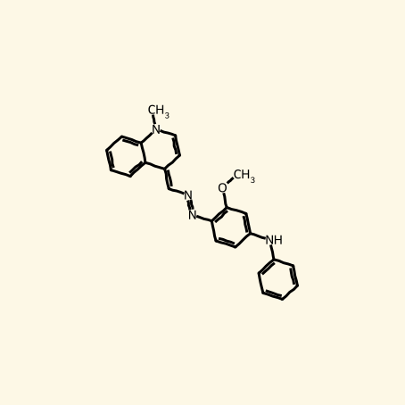 COc1cc(Nc2ccccc2)ccc1N=N/C=C1\C=CN(C)c2ccccc21